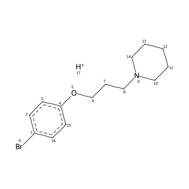 Brc1ccc(OCCCN2CCCCC2)cc1.[H+]